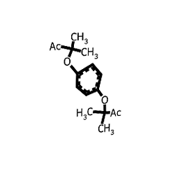 CC(=O)C(C)(C)Oc1ccc(OC(C)(C)C(C)=O)cc1